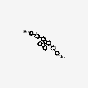 CC(C)(C)c1ccc(-c2ncc(C3=CC4C(C=C3)c3ccc(-c5cnc(-c6ccc(C(C)(C)C)cc6)nc5)cc3C43c4ccccc4-c4ccccc43)cn2)cc1